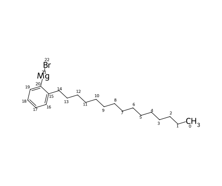 CCCCCCCCCCCCCCCc1cccc[c]1[Mg][Br]